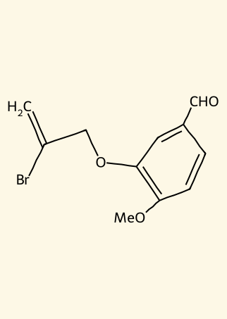 C=C(Br)COc1cc(C=O)ccc1OC